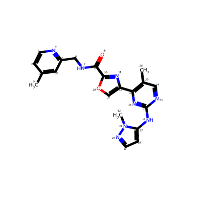 Cc1ccnc(CNC(=O)c2nc(-c3nc(Nc4ccnn4C)ncc3C)co2)c1